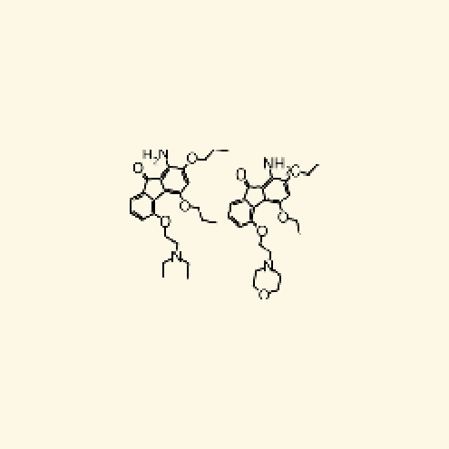 CCCOc1cc(OCCC)c2c(c1N)C(=O)c1cccc(OCCN(CC)CC)c1-2.CCOc1cc(OCC)c2c(c1N)C(=O)c1cccc(OCCN3CCOCC3)c1-2